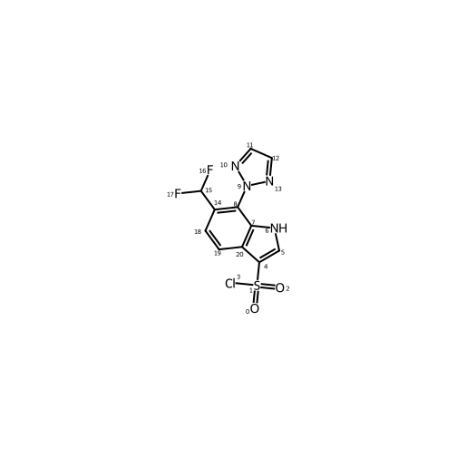 O=S(=O)(Cl)c1c[nH]c2c(-n3nccn3)c(C(F)F)ccc12